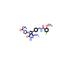 COc1ccc(F)cc1C(=O)NCc1ccc(-c2cn([C@@H]3CCN(C(C)=O)C3)c3c(=O)[nH]nc(N)c23)cc1